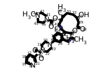 C/C(=C/c1cc(F)cc(N2CCN(S(=O)(=O)c3cccnc3)CC2)c1)[C@H]1OC(=O)C[C@H](O)CC[C@H](C)[C@@H](OC(=O)N2CCN(C)CC2)/C=C\[C@@H]1C